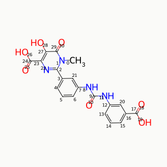 Cn1c(-c2cccc(NC(=O)Nc3cccc(C(=O)O)c3)c2)nc(C(=O)O)c(O)c1=O